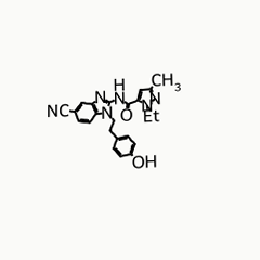 CCn1nc(C)cc1C(=O)Nc1nc2cc(C#N)ccc2n1CCc1ccc(O)cc1